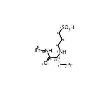 CC(C)C[C@@H](NCCCS(=O)(=O)O)C(=O)NC(C)C